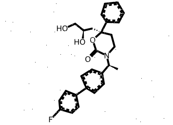 C[C@@H](c1ccc(-c2ccc(F)cc2)cc1)N1CC[C@](C[C@@H](O)CO)(c2ccccc2)OC1=O